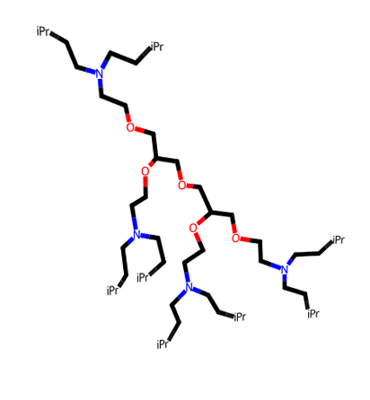 CC(C)CCN(CCOCC(COCC(COCCN(CCC(C)C)CCC(C)C)OCCN(CCC(C)C)CCC(C)C)OCCN(CCC(C)C)CCC(C)C)CCC(C)C